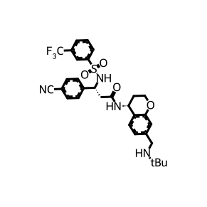 CC(C)(C)NCc1ccc2c(c1)OCC[C@H]2NC(=O)C[C@@H](NS(=O)(=O)c1cccc(C(F)(F)F)c1)c1ccc(C#N)cc1